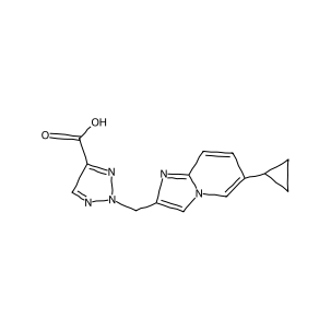 O=C(O)c1cnn(Cc2cn3cc(C4CC4)ccc3n2)n1